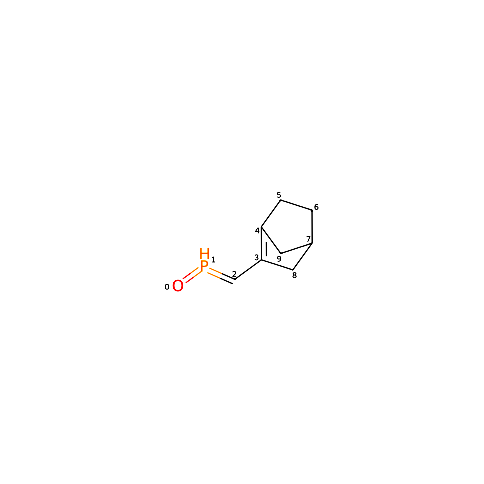 O=[PH]=CC1=C2CCC(C1)C2